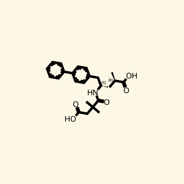 C[C@H](C[C@@H](Cc1ccc(-c2ccccc2)cc1)NC(=O)C(C)(C)CC(=O)O)C(=O)O